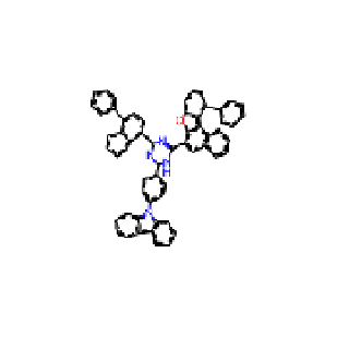 c1ccc(-c2ccc(C3=NC(c4ccc(-n5c6ccccc6c6ccccc65)cc4)NC(c4cc5ccccc5c5c4oc4cccc(-c6ccccc6)c45)=N3)c3ccccc23)cc1